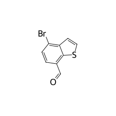 O=Cc1ccc(Br)c2ccsc12